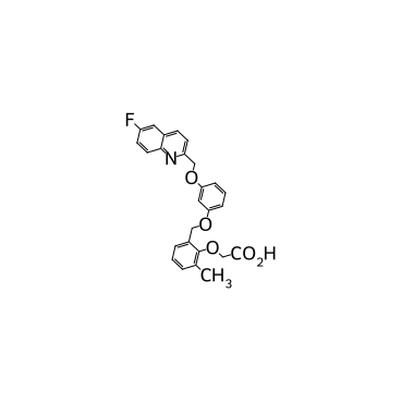 Cc1cccc(COc2cccc(OCc3ccc4cc(F)ccc4n3)c2)c1OCC(=O)O